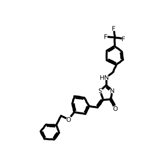 O=C1N=C(NCc2ccc(C(F)(F)F)cc2)SC1=Cc1cccc(OCc2ccccc2)c1